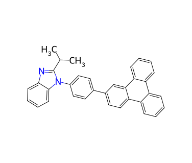 CC(C)c1nc2ccccc2n1-c1ccc(-c2ccc3c4ccccc4c4ccccc4c3c2)cc1